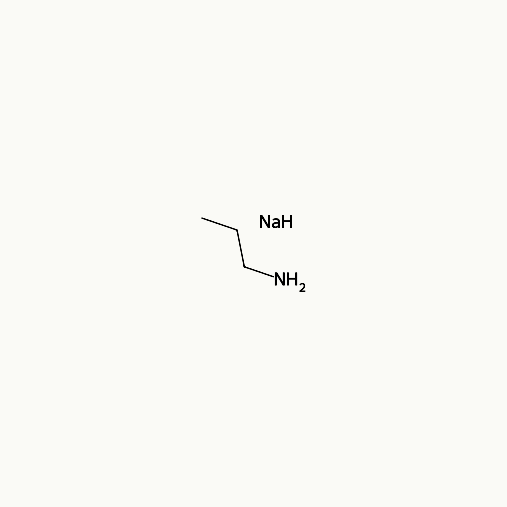 CCCN.[NaH]